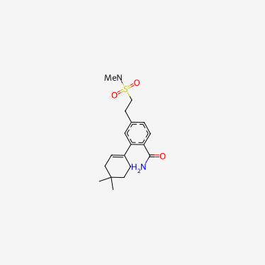 CNS(=O)(=O)CCc1ccc(C(N)=O)c(C2=CCC(C)(C)CC2)c1